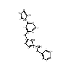 c1ccc(CNc2ncc(Cc3cccc(-n4cccn4)c3)s2)cc1